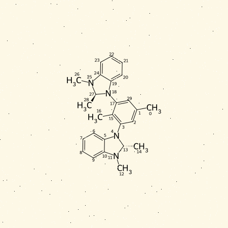 Cc1cc(N2c3ccccc3N(C)[C@H]2C)c(C)c(N2c3ccccc3N(C)[C@@H]2C)c1